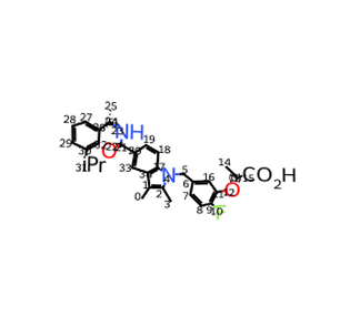 Cc1c(C)n(Cc2ccc(F)c(O[C@@H](C)C(=O)O)c2)c2ccc(C(=O)N[C@@H](C)c3cccc(C(C)C)c3)cc12